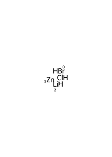 Br.Cl.[LiH].[Zn]